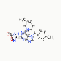 CC1CCC(Cn2cnc3nc(-c4noc(=O)[nH]4)nc(N4CCCC(C)C4)c32)CC1